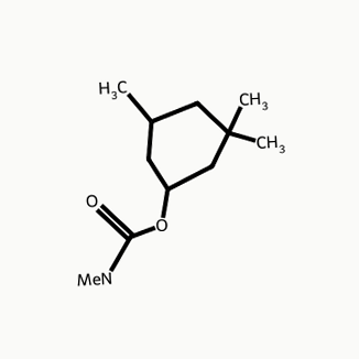 CNC(=O)OC1CC(C)CC(C)(C)C1